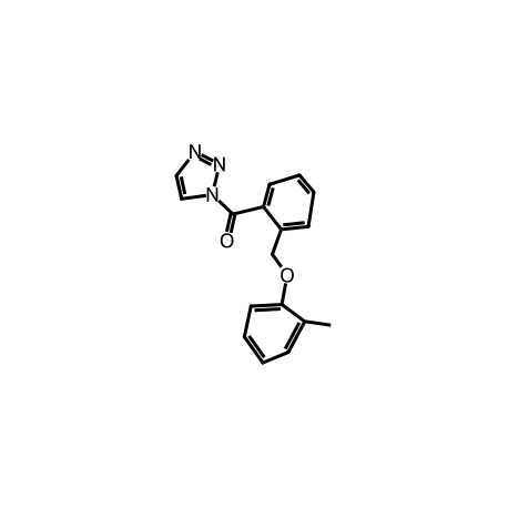 Cc1ccccc1OCc1ccccc1C(=O)n1ccnn1